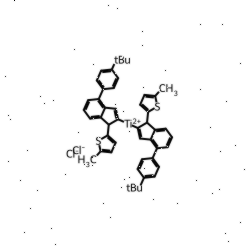 Cc1ccc(C2[C]([Ti+2][C]3=Cc4c(-c5ccc(C(C)(C)C)cc5)cccc4C3c3ccc(C)s3)=Cc3c(-c4ccc(C(C)(C)C)cc4)cccc32)s1.[Cl-].[Cl-]